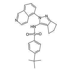 CC(C)(C)c1ccc(S(=O)(=O)Nc2c3c(nn2-c2cccc4cnccc24)CCC3)cc1